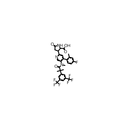 Cc1cc(F)ccc1-c1cc(C2CC(=O)NC2C(=O)O)ncc1N(C)C(=O)C(C)(C)c1cc(C(F)(F)F)cc(C(F)(F)F)c1